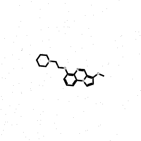 COc1ccn2c1cnc1c(OCCN3CCCCC3)cccc12